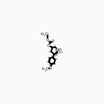 CCOC(=O)OC1CNCC(c2ccc(OC)cc2)C1.Cl